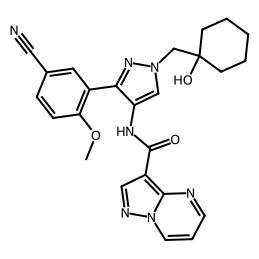 COc1ccc(C#N)cc1-c1nn(CC2(O)CCCCC2)cc1NC(=O)c1cnn2cccnc12